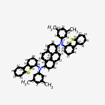 Cc1cc(C)cc(N(c2ccc3ccc4c(N(c5cc(C)cc(C)c5)c5cccc6c5sc5ccccc56)ccc5ccc2c3c54)c2cccc3c2sc2ccccc23)c1